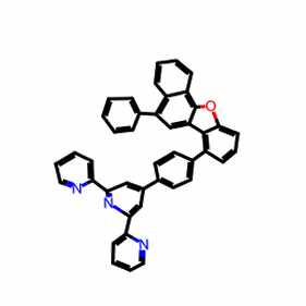 c1ccc(-c2cc3c(oc4cccc(-c5ccc(-c6cc(-c7ccccn7)nc(-c7ccccn7)c6)cc5)c43)c3ccccc23)cc1